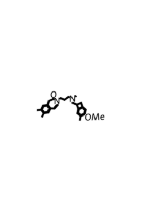 COc1cc2c(cc1C)C(CN(C)CCCN1C=Cc3cc(C)c(C)cc3CC1=O)C2